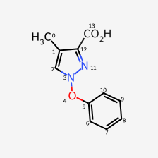 Cc1cn(Oc2ccccc2)nc1C(=O)O